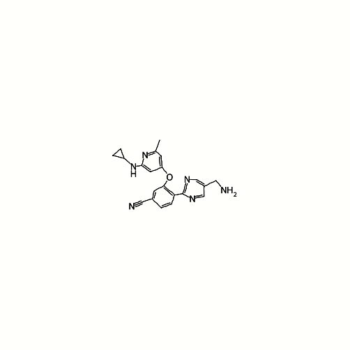 Cc1cc(Oc2cc(C#N)ccc2-c2ncc(CN)cn2)cc(NC2CC2)n1